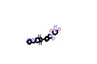 NC1(Cc2ccccc2)C[C@@H]2CC(c3ccc4c(c3)CN(C3CCC(=O)NC3=O)C4=O)C[C@@H](C2)C1